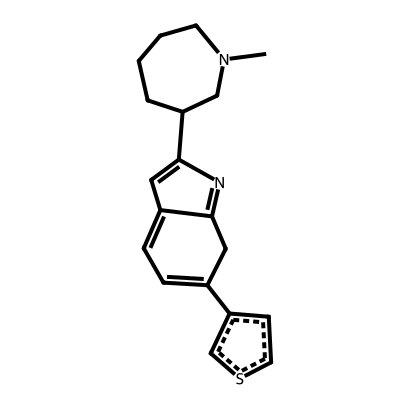 CN1CCCCC(C2=CC3=CC=C(c4ccsc4)CC3=N2)C1